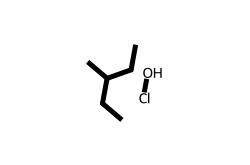 CCC(C)CC.OCl